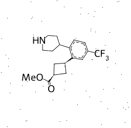 COC(=O)[C@H]1C[C@@H](c2cc(C(F)(F)F)ccc2C2CCNCC2)C1